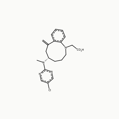 C=C1C[C@@H](N(C)c2ncc(Cl)cn2)CCCN(CC(=O)O)c2ccccc21